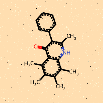 Cc1[nH]c2c(C)c(C)c(C)c(C)c2c(=O)c1-c1ccccc1